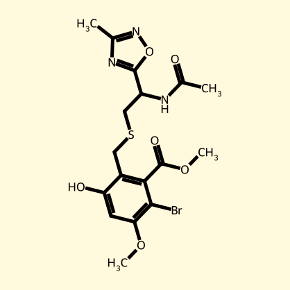 COC(=O)c1c(Br)c(OC)cc(O)c1CSCC(NC(C)=O)c1nc(C)no1